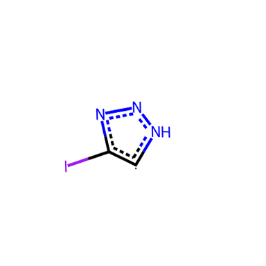 Ic1[c][nH]nn1